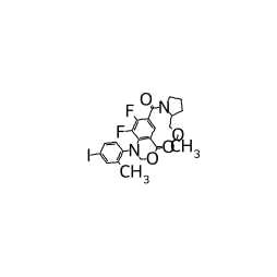 COCC1CCCN1C(=O)c1cc2c(c(F)c1F)N(c1ccc(I)cc1C)COC2=O